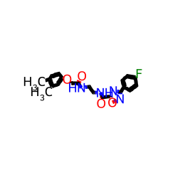 Cc1ccc(OCC(=O)NCCNC(=O)c2nc(-c3ccc(F)cc3)no2)cc1C